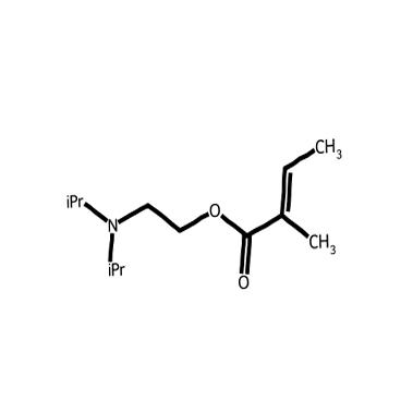 CC=C(C)C(=O)OCCN(C(C)C)C(C)C